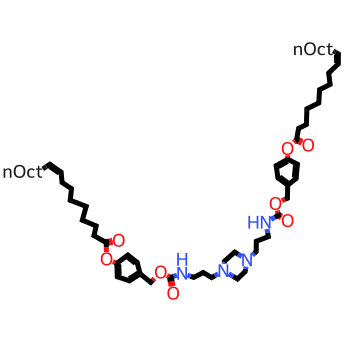 CCCCCCCC/C=C\CCCCCCCC(=O)Oc1ccc(COC(=O)NCCCN2CCN(CCCNC(=O)OCc3ccc(OC(=O)CCCCCCC/C=C\CCCCCCCC)cc3)CC2)cc1